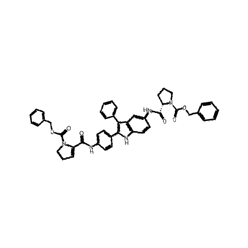 O=C(Nc1ccc(-c2[nH]c3ccc(NC(=O)[C@@H]4CCCN4C(=O)OCc4ccccc4)cc3c2-c2ccccc2)cc1)C1=CCCN1C(=O)OCc1ccccc1